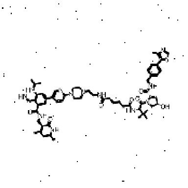 Cc1cc(C)c(CNC(=O)c2cc(-c3ccc(N4CCN(CCNC(=O)CCCCC(=O)N[C@H](C(=O)N5C[C@H](O)C[C@H]5C(=O)NCc5ccc(-c6scnc6C)cc5)C(C)(C)C)CC4)nc3)cc(NC(C)C)c2C=N)c(=O)[nH]1